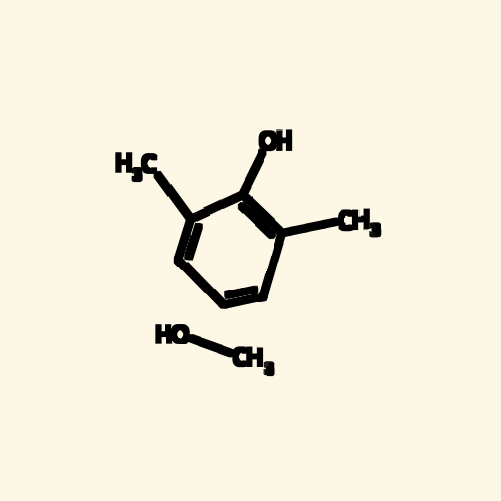 CO.Cc1cccc(C)c1O